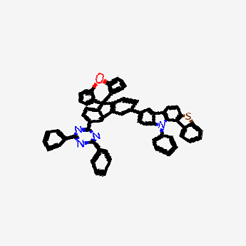 c1ccc(-c2nc(-c3ccccc3)nc(-c3ccc4c(c3)-c3cc(-c5ccc6c(c5)c5ccc7sc8ccccc8c7c5n6-c5ccccc5)ccc3C43c4ccccc4Oc4ccccc43)n2)cc1